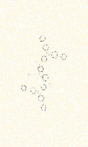 CCC1(c2ccc(N(c3ccc(-c4ccccc4)cc3)c3ccc(-c4ccccc4)cc3)cc2)Cc2cc3c(cc21)C(C)(C)c1cc2c(cc1-3)C2(CC)c1ccc(N(c2ccc(-c3ccccc3)cc2)c2ccc(-c3ccccc3)cc2)cc1